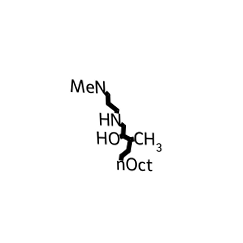 CCCCCCCCCCC(C)C(O)CNCCCNC